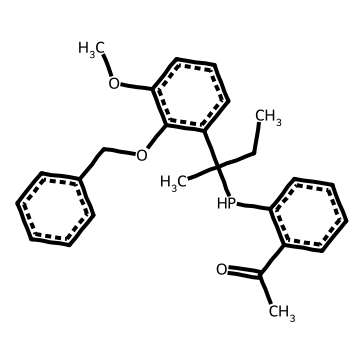 CCC(C)(Pc1ccccc1C(C)=O)c1cccc(OC)c1OCc1ccccc1